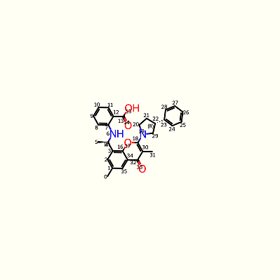 Cc1cc([C@@H](C)Nc2ccccc2C(=O)O)c2oc(N3CC[C@H](c4ccccc4)C3)c(C)c(=O)c2c1